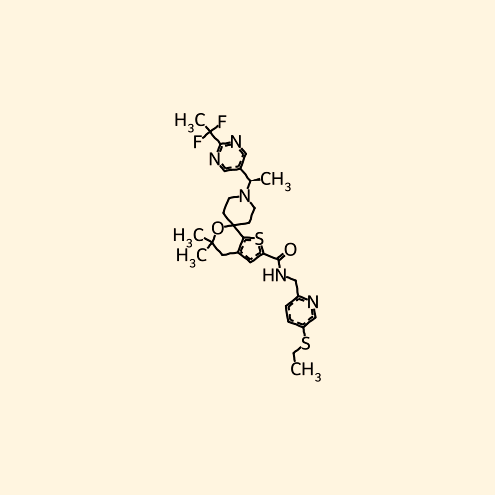 CCSc1ccc(CNC(=O)c2cc3c(s2)C2(CCN([C@H](C)c4cnc(C(C)(F)F)nc4)CC2)OC(C)(C)C3)nc1